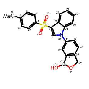 COc1ccc(S(=O)(=O)c2cn(-c3ccc4c(c3)B(O)OC4)c3ccccc23)cc1